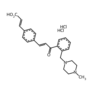 CN1CCN(Cc2ccccc2C(=O)C=Cc2ccc(C=CC(=O)O)cc2)CC1.Cl.Cl